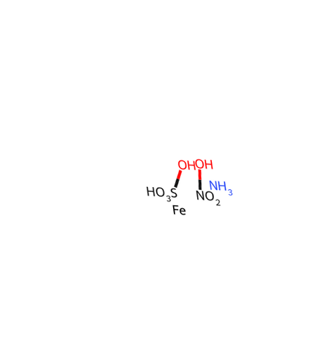 N.O=S(=O)(O)O.O=[N+]([O-])O.[Fe]